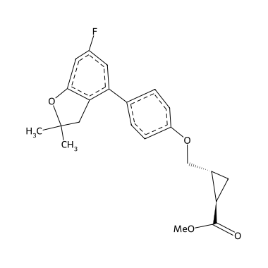 COC(=O)[C@@H]1C[C@H]1COc1ccc(-c2cc(F)cc3c2CC(C)(C)O3)cc1